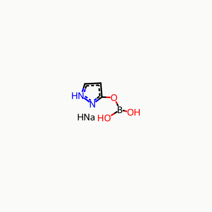 OB(O)Oc1cc[nH]n1.[NaH]